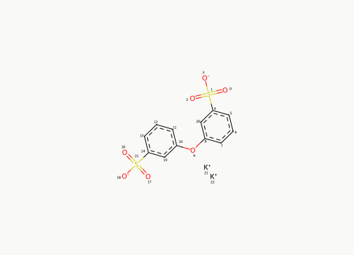 O=S(=O)([O-])c1cccc(Oc2cccc(S(=O)(=O)[O-])c2)c1.[K+].[K+]